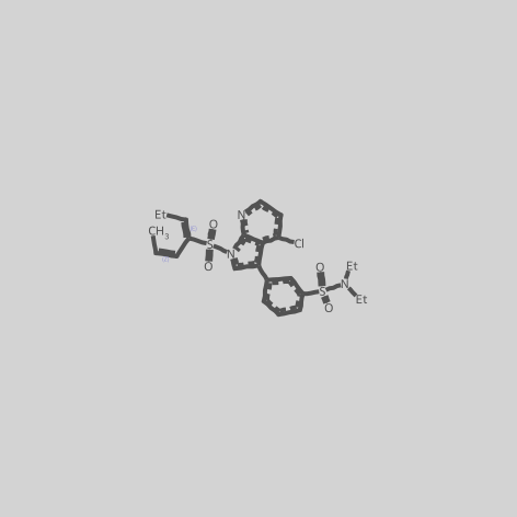 C/C=C\C(=C/CC)S(=O)(=O)n1cc(-c2cccc(S(=O)(=O)N(CC)CC)c2)c2c(Cl)ccnc21